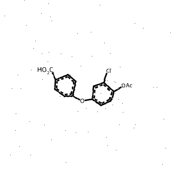 CC(=O)Oc1ccc(Oc2ccc(C(=O)O)cc2)cc1Cl